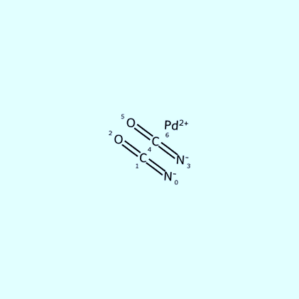 [N-]=C=O.[N-]=C=O.[Pd+2]